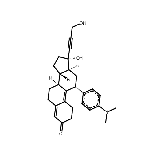 CN(C)c1ccc([C@H]2C[C@@]3(C)[C@@H](CC[C@@]3(O)C#CCO)[C@@H]3CCC4=CC(=O)CCC4=C32)cc1